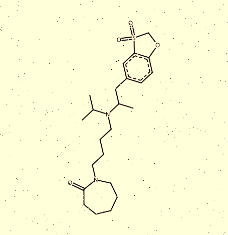 CC(C)N(CCCCN1CCCCCC1=O)C(C)Cc1ccc2c(c1)S(=O)(=O)CO2